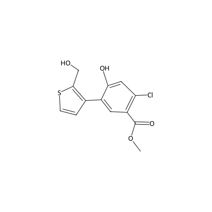 COC(=O)c1cc(-c2ccsc2CO)c(O)cc1Cl